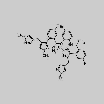 CCn1cc(Cc2nn(C)nc2-c2cc(F)ccc2[C@@H](C)Nc2ncc(Br)cc2O[C@H](C)c2cc(F)ccc2-c2nn(C)nc2Cc2cnn(CC)c2)cn1